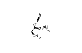 C=CC(=O)OC#N.P